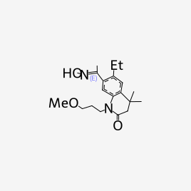 CCc1cc2c(cc1/C(C)=N/O)N(CCCOC)C(=O)CC2(C)C